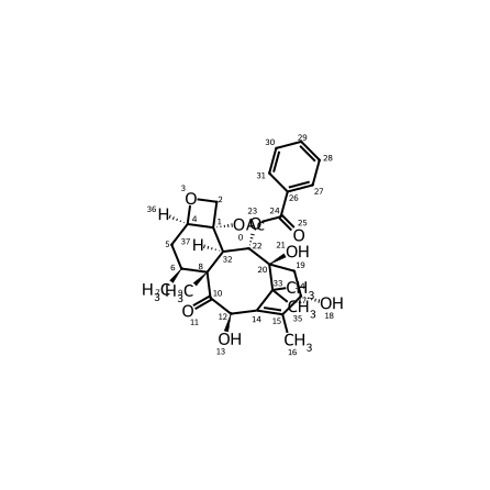 CC(=O)O[C@@]12CO[C@@H]1C[C@H](C)[C@@]1(C)C(=O)[C@H](O)C3=C(C)[C@@H](O)C[C@@](O)([C@@H](OC(=O)c4ccccc4)[C@H]21)C3(C)C